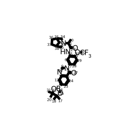 CC(C(=O)Nc1cc(-n2cnc3cc(B4OC(C)(C)C(C)(C)O4)ccc3c2=O)ccc1OC(F)(F)F)N1CC2CCC(C2)C1